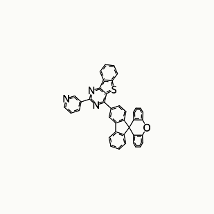 c1cncc(-c2nc(-c3ccc4c(c3)-c3ccccc3C43c4ccccc4Oc4ccccc43)c3sc4ccccc4c3n2)c1